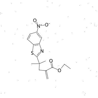 C=C(CC(C)(C)c1nc2cc([N+](=O)[O-])ccc2s1)C(=O)OCC